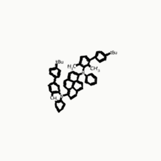 CC1=CC=C(c2ccc(C(C)(C)C)cc2)C(C)C1N(c1ccccc1)c1ccc2ccc3c(N(c4ccccc4)c4cc(-c5ccc(C(C)(C)C)cc5)ccc4C)ccc4ccc1c2c43